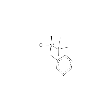 CC(C)(C)[N@@+](C)([O-])Cc1ccccc1